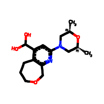 C[C@@H]1CN(c2cc(C(O)O)c3c(n2)COCCC3)C[C@H](C)O1